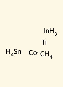 C.[Co].[InH3].[SnH4].[Ti]